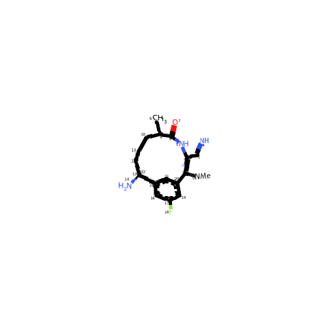 CN/C1=C(\C=N)NC(=O)C(C)CCC[C@H](N)c2cc(F)cc1c2